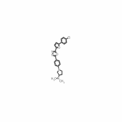 CN(C)C1CCN(c2ccc(-c3nnc(-c4ccc(-c5ccc(Cl)cc5)o4)o3)cc2)C1